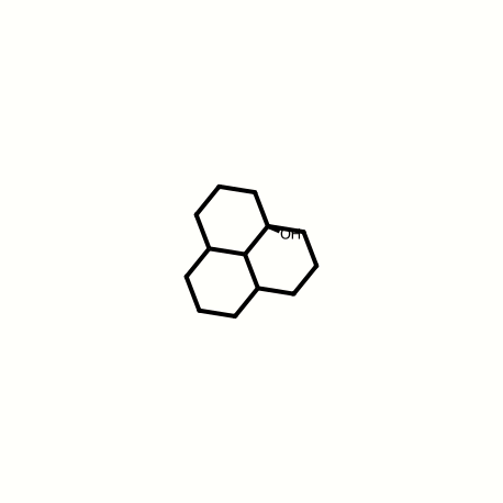 OC12CCCC3CCCC(CCC1)C32